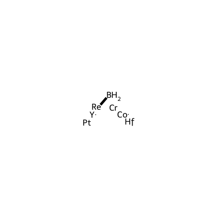 [BH2][Re].[Co].[Cr].[Hf].[Pt].[Y]